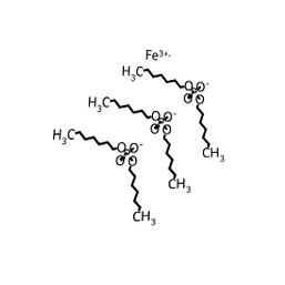 CCCCCCCOP(=O)([O-])OCCCCCCC.CCCCCCCOP(=O)([O-])OCCCCCCC.CCCCCCCOP(=O)([O-])OCCCCCCC.[Fe+3]